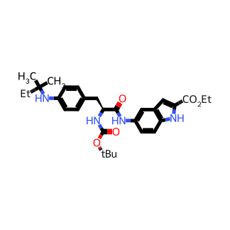 CCOC(=O)c1cc2cc(NC(=O)[C@H](Cc3ccc(NC(C)(C)CC)cc3)NC(=O)OC(C)(C)C)ccc2[nH]1